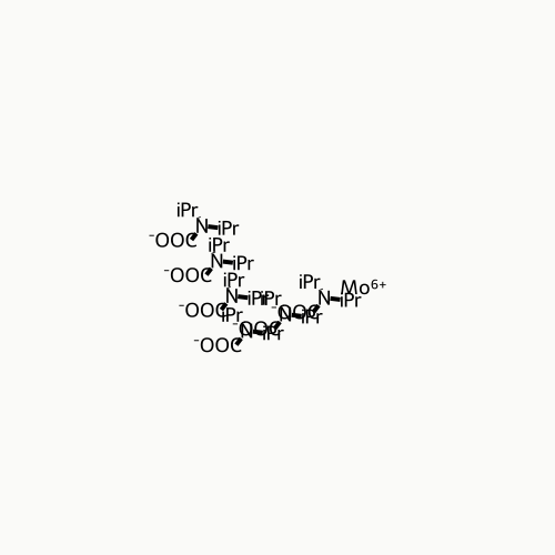 CC(C)N(C(=O)[O-])C(C)C.CC(C)N(C(=O)[O-])C(C)C.CC(C)N(C(=O)[O-])C(C)C.CC(C)N(C(=O)[O-])C(C)C.CC(C)N(C(=O)[O-])C(C)C.CC(C)N(C(=O)[O-])C(C)C.[Mo+6]